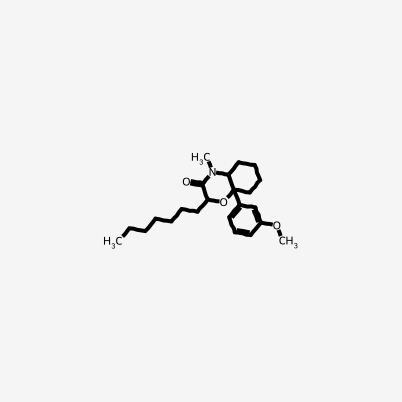 CCCCCCCC1OC2(c3cccc(OC)c3)CCCCC2N(C)C1=O